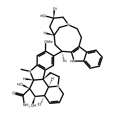 CC[C@]1(O)C[C@@H]2CN(CCc3c([nH]c4ccccc34)[C@@](C(C)=O)(c3cc4c(cc3OC)N(C)[C@H]3[C@@](O)(C(N)=O)[C@H](O)[C@]5(CC)C=CCN6CC[C@]43[C@@H]65)C2)C1